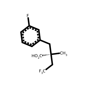 C[C@](Cc1cccc(F)c1)(CC(F)(F)F)C(=O)O